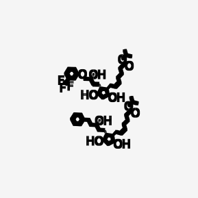 CC(C)OC(=O)CCC/C=C\C[C@@H]1[C@@H](/C=C/[C@@H](O)COc2cccc(C(F)(F)F)c2)[C@H](O)C[C@@H]1O.CC(C)OC(=O)CCC/C=C\C[C@@H]1[C@@H](CC[C@@H](O)CCc2ccccc2)[C@H](O)C[C@@H]1O